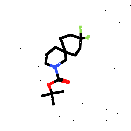 CC(C)(C)OC(=O)N1CCCC2(CCC(F)(F)CC2)C1